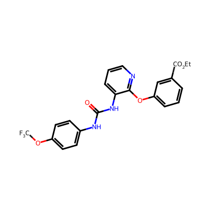 CCOC(=O)c1cccc(Oc2ncccc2NC(=O)Nc2ccc(OC(F)(F)F)cc2)c1